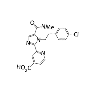 CNC(=O)c1cnc(-c2cc(C(=O)O)ccn2)n1CCc1ccc(Cl)cc1